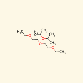 CC(C)OC(C)C.CCOCCOCCOCC